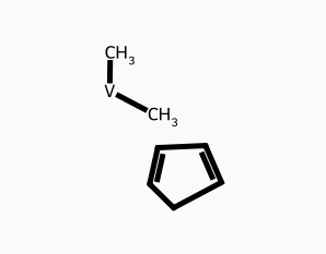 C1=CCC=C1.[CH3][V][CH3]